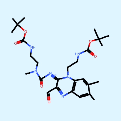 Cc1cc2nc(C=O)/c(=N\C(=O)N(C)CCNC(=O)OC(C)(C)C)n(CCNC(=O)OC(C)(C)C)c2cc1C